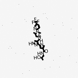 CC(O)CNC(=O)c1c[nH]c(-c2n[nH]cc2CN2CCN(c3ccc(C(F)(F)F)cn3)C(C)C2)c1